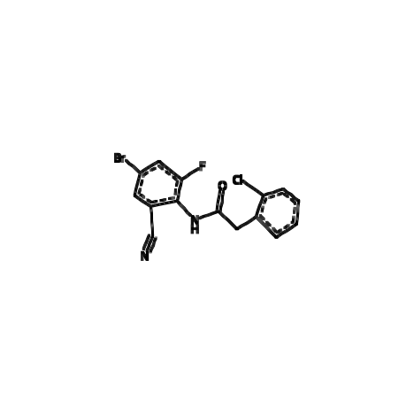 N#Cc1cc(Br)cc(F)c1NC(=O)Cc1ccccc1Cl